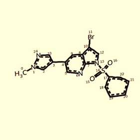 Cn1cc(-c2cnc3c(c2)c(Br)cn3S(=O)(=O)c2ccccc2)cn1